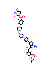 CCCS(=O)(=O)Nc1ccc(F)c(C(=O)c2c[nH]c3ncc(-c4ccc(N5CCN(CC6CCN(c7ccc8c(c7)CN(C7CCC(=O)NC7=O)C8=O)CC6)CC5)cc4)cc23)c1F